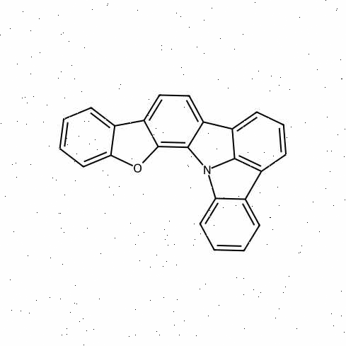 c1ccc2c(c1)oc1c2ccc2c3cccc4c5ccccc5n(c43)c21